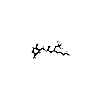 C=C(CC(CCCCC)CC(F)(F)F)OCc1cc(O)ccc1C